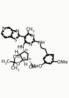 COc1cc(CCNc2nc(C)c(-c3nc4cnccc4s3)c(N[C@@H]3C[C@H](CO)[C@H]4OC(C)(C)O[C@H]43)n2)cc(OC)c1